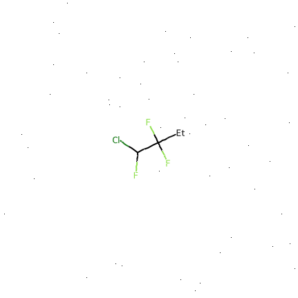 [CH2]CC(F)(F)C(F)Cl